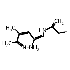 C=C(CF)N/C=C(N)\C=C(\C)C(C)=N